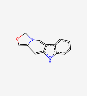 C1=C2C=c3[nH]c4ccccc4c3=CN2CO1